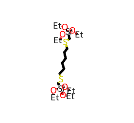 CCO[Si](CSCCCCCCSC[Si](OCC)(OCC)OCC)(OCC)OCC